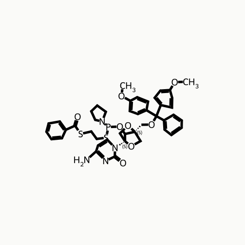 COc1ccc(C(OC[C@@]23CO[C@@](n4ccc(N)nc4=O)(CO2)C3OP(SCCSC(=O)c2ccccc2)N2CCCC2)(c2ccccc2)c2ccc(OC)cc2)cc1